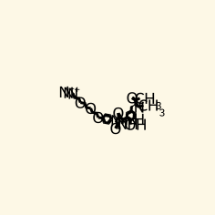 CN[C@@H](Cc1ccc(O)c(-n2[nH]c(=O)n(-c3ccc(OCCOCCOCCN=[N+]=[N-])cc3)c2=O)c1)C(C)=O